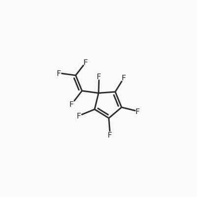 FC(F)=C(F)C1(F)C(F)=C(F)C(F)=C1F